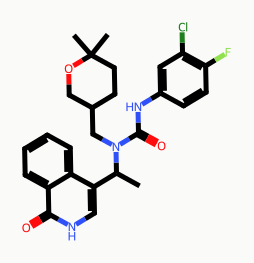 CC(c1c[nH]c(=O)c2ccccc12)N(CC1CCC(C)(C)OC1)C(=O)Nc1ccc(F)c(Cl)c1